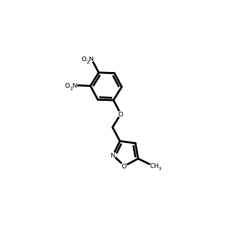 Cc1cc(COc2ccc([N+](=O)[O-])c([N+](=O)[O-])c2)no1